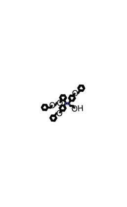 OCC/C(=C(\c1ccc(OCc2ccccc2)cc1)c1ccccc1OCCOCc1ccccc1)c1ccc(OCc2ccccc2)cc1